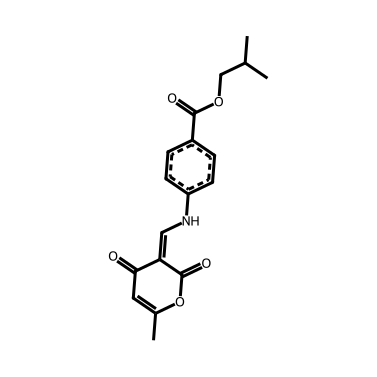 CC1=CC(=O)C(=CNc2ccc(C(=O)OCC(C)C)cc2)C(=O)O1